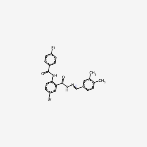 CCc1ccc(C(=O)Nc2ccc(Br)cc2C(=O)N/N=C/c2ccc(C)c(C)c2)cc1